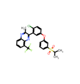 Cc1nc2cccc(C(F)(F)F)c2nc1-c1cc(Oc2cccc(S(=O)(=O)C(C)C)c2)ccc1Cl